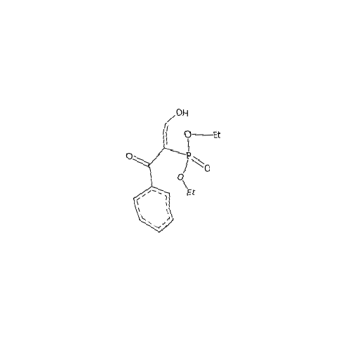 CCOP(=O)(OCC)C(=CO)C(=O)c1ccccc1